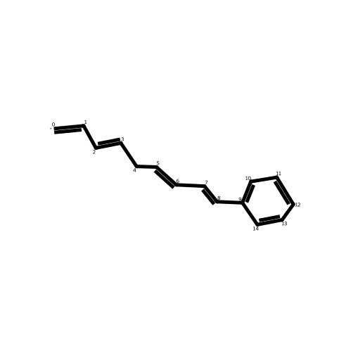 [CH]=CC=CCC=CC=[C]c1ccccc1